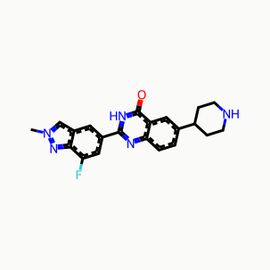 Cn1cc2cc(-c3nc4ccc(C5CCNCC5)cc4c(=O)[nH]3)cc(F)c2n1